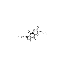 CCCCO[PH](=O)On1c(=O)c2c(ncn2COCC)n(C)c1=O